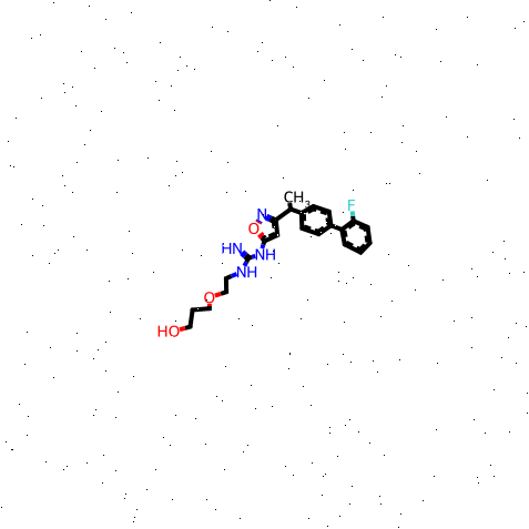 CC(c1ccc(-c2ccccc2F)cc1)c1cc(NC(=N)NCCOCCCO)on1